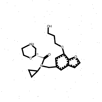 O=C([C@H]1CNCCO1)N(Cc1cc(OCCCO)c2occc2c1)C1CC1